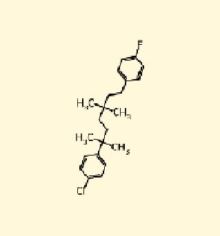 CC(C)(CCc1ccc(F)cc1)CCC(C)(C)c1ccc(Cl)cc1